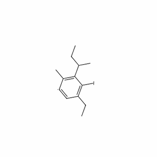 CCc1c[c]c(C)c(C(C)CC)c1I